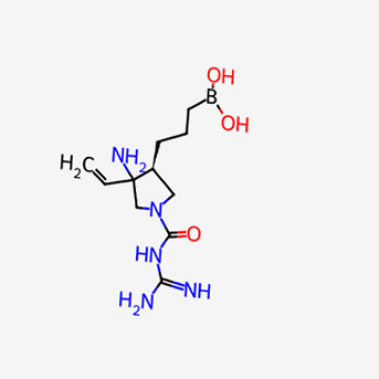 C=CC1(N)CN(C(=O)NC(=N)N)C[C@@H]1CCCB(O)O